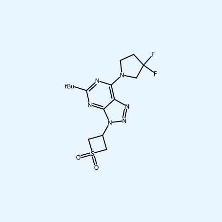 CC(C)(C)c1nc(N2CCC(F)(F)C2)c2nnn(C3CS(=O)(=O)C3)c2n1